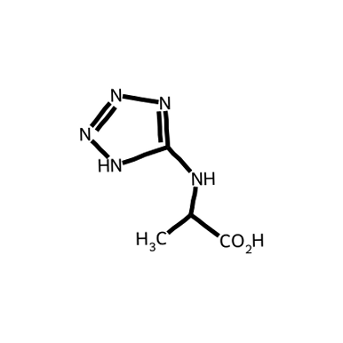 CC(Nc1nnn[nH]1)C(=O)O